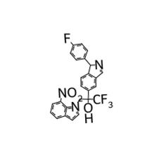 O=[N+]([O-])c1cccc2ccn(CC(O)(c3ccc4c(c3)C=NC4c3ccc(F)cc3)C(F)(F)F)c12